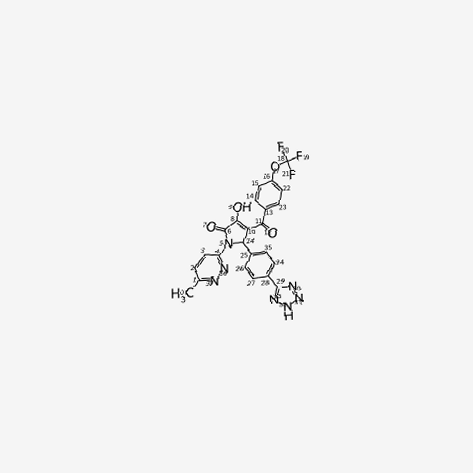 Cc1ccc(N2C(=O)C(O)=C(C(=O)c3ccc(OC(F)(F)F)cc3)C2c2ccc(-c3nn[nH]n3)cc2)nn1